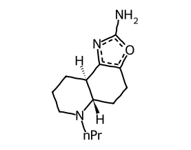 CCCN1CCC[C@H]2c3nc(N)oc3CC[C@@H]21